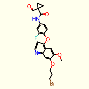 COc1cc2c(Oc3ccc(NC(=O)C4(C=O)CC4)cc3F)ccnc2cc1OCCCBr